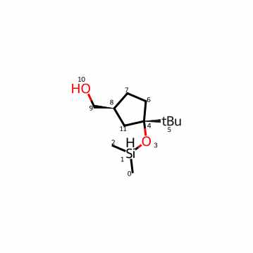 C[SiH](C)O[C@@]1(C(C)(C)C)CC[C@H](CO)C1